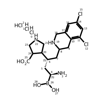 Cl.Cl.Cl.N[C@H](C[C@@H](CC1Cc2c(Cl)cc(Cl)cc2CN1)C1CNCC1C(=O)O)B(O)O